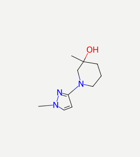 Cn1ccc(N2CCCC(C)(O)C2)n1